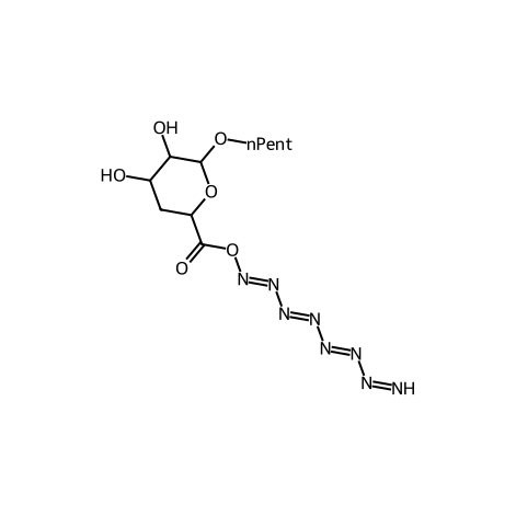 CCCCCOC1OC(C(=O)ON=NN=NN=NN=N)CC(O)C1O